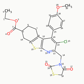 CCOC(=O)C1CCc2c(sc3nc(CN4C(=O)CSC4=O)c(Cl)c(-c4ccc(OC)cc4)c23)C1